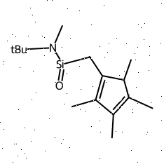 CC1=C(C)C(C)C(C[Si](=O)N(C)C(C)(C)C)=C1C